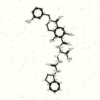 Cc1cccc(CN2CCc3c(cc(Cl)c(C(=O)N[C@@H](CNC(=O)N[C@@H]4CCc5ccccc54)C(=O)O)c3Cl)C2=O)c1